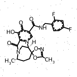 CC1=NOC2(CC[C@H](C)N3C[C@H]2n2cc(C(=O)NCc4ccc(F)cc4F)c(=O)c(O)c2C3=O)O1